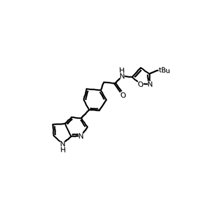 CC(C)(C)c1cc(NC(=O)Cc2ccc(-c3cnc4[nH]ccc4c3)cc2)on1